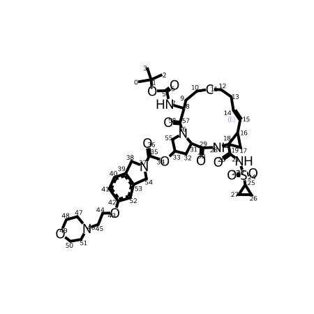 CC(C)(C)OC(=O)NC1CCCCC/C=C/C2CC2(C(=O)NS(=O)(=O)C2CC2)NC(=O)C2CC(OC(=O)N3Cc4ccc(OCCN5CCOCC5)cc4C3)CN2C1=O